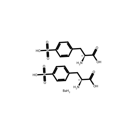 N[C@@H](Cc1ccc(S(=O)(=O)O)cc1)C(=O)O.N[C@@H](Cc1ccc(S(=O)(=O)O)cc1)C(=O)O.[BaH2]